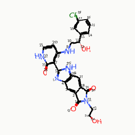 O=C1c2cc3nc(-c4c(NC[C@@H](O)c5cccc(Cl)c5)cc[nH]c4=O)[nH]c3cc2C(=O)N1CCO